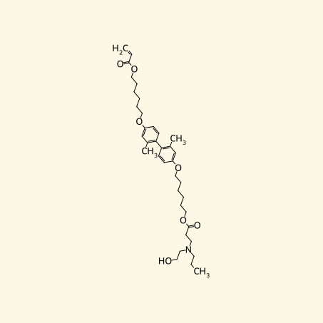 C=CC(=O)OCCCCCCOc1ccc(-c2ccc(OCCCCCCOC(=O)CCN(CCC)CCO)cc2C)c(C)c1